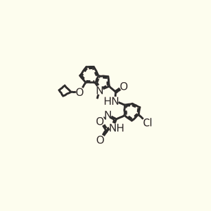 Cn1c(C(=O)Nc2ccc(Cl)cc2-c2noc(=O)[nH]2)cc2cccc(OC3CCC3)c21